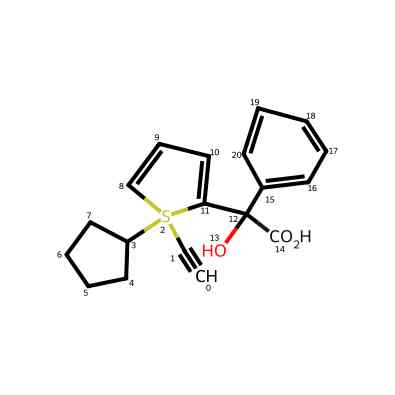 C#CS1(C2CCCC2)C=CC=C1C(O)(C(=O)O)c1ccccc1